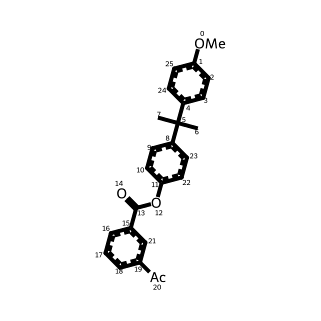 COc1ccc(C(C)(C)c2ccc(OC(=O)c3cccc(C(C)=O)c3)cc2)cc1